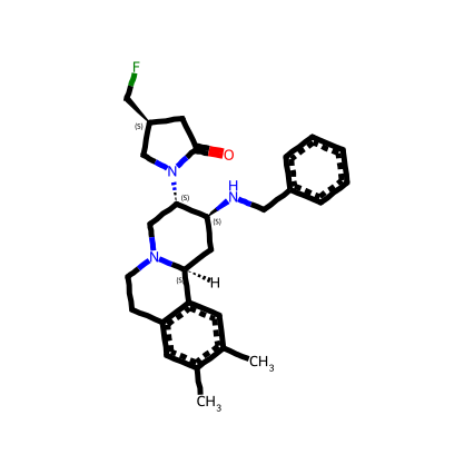 Cc1cc2c(cc1C)[C@@H]1C[C@H](NCc3ccccc3)[C@@H](N3C[C@@H](CF)CC3=O)CN1CC2